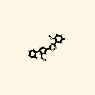 COc1ccc(F)cc1-c1noc(-c2ccc(-c3ccccc3C)c(CO)c2)n1